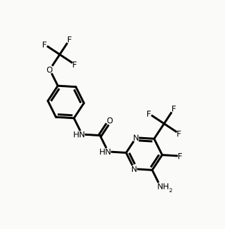 Nc1nc(NC(=O)Nc2ccc(OC(F)(F)F)cc2)nc(C(F)(F)F)c1F